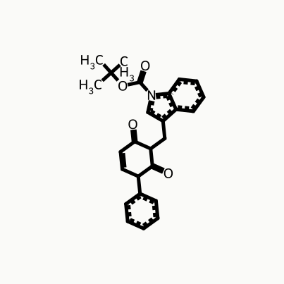 CC(C)(C)OC(=O)n1cc(CC2C(=O)C=CC(c3ccccc3)C2=O)c2ccccc21